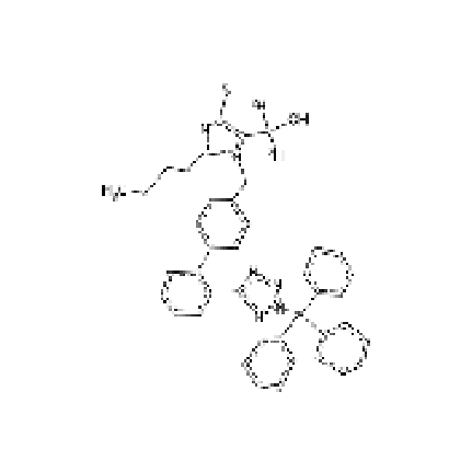 [2H]C([2H])(O)c1c(Cl)nc(CCCC)n1Cc1ccc(-c2ccccc2-c2nnn(C(c3ccccc3)(c3ccccc3)c3ccccc3)n2)cc1